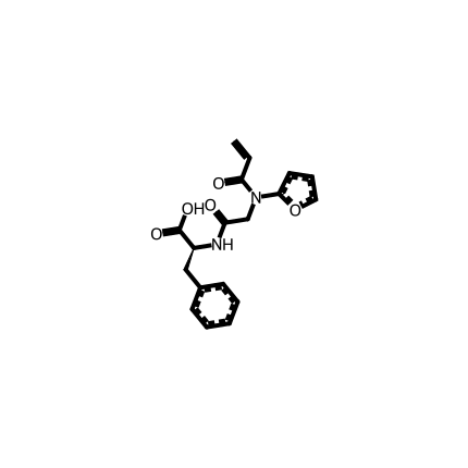 C=CC(=O)N(CC(=O)N[C@@H](Cc1ccccc1)C(=O)O)c1ccco1